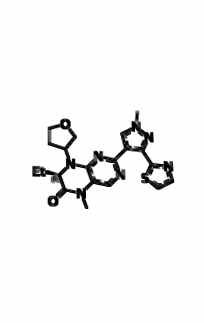 CC[C@@H]1C(=O)N(C)c2cnc(-c3cn(C)nc3-c3nccs3)nc2N1C1CCOC1